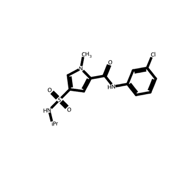 CC(C)NS(=O)(=O)c1cc(C(=O)Nc2cccc(Cl)c2)n(C)c1